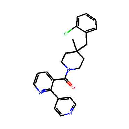 CC1(Cc2ccccc2Cl)CCN(C(=O)c2cccnc2-c2ccncc2)CC1